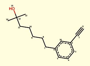 C#Cc1cccc(CCCCCC(C)(C)O)c1